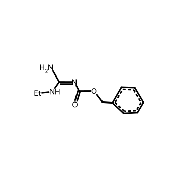 [CH2]CNC(N)=NC(=O)OCc1ccccc1